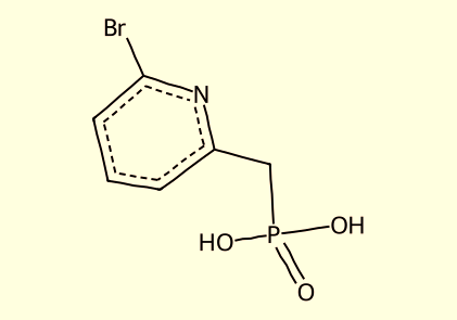 O=P(O)(O)Cc1cccc(Br)n1